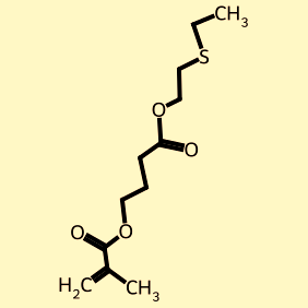 C=C(C)C(=O)OCCCC(=O)OCCSCC